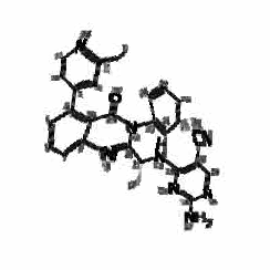 Cc1cc(-c2cccc3nc([C@@H](C)Nc4nc(N)ncc4C#N)n(-c4ccccc4)c(=O)c23)ccn1